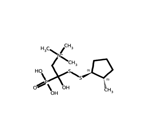 C[C@H]1CCC[C@@H]1SSC(O)(C[N+](C)(C)C)P(=O)(O)O